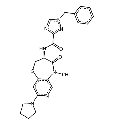 CN1C(=O)[C@H](NC(=O)c2ncn(Cc3ccccc3)n2)CSc2cc(N3CCCC3)ncc21